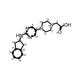 O=C(O)CN1CCN(c2cnc(NC3Cc4ccccc4C3)nc2)CC1